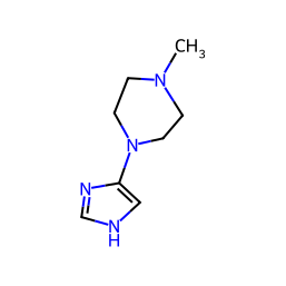 CN1CCN(c2c[nH]cn2)CC1